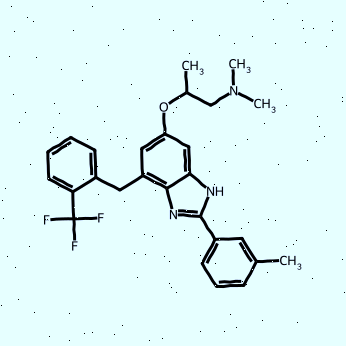 Cc1cccc(-c2nc3c(Cc4ccccc4C(F)(F)F)cc(OC(C)CN(C)C)cc3[nH]2)c1